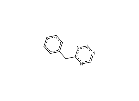 [c]1ncnc(Cc2ccccc2)n1